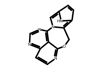 C1=c2ccc([nH]2)=C2COc3nccc4ncnc(c34)N12